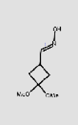 COC1(OC)CC(/C=N/O)C1